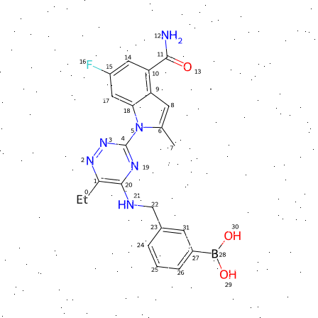 CCc1nnc(-n2c(C)cc3c(C(N)=O)cc(F)cc32)nc1NCc1cccc(B(O)O)c1